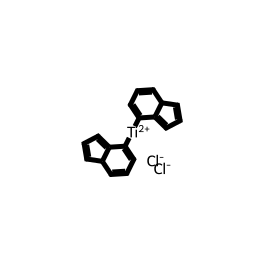 C1=CC2C=CC=C2[C]([Ti+2][C]2=CC=CC3C=CC=C23)=C1.[Cl-].[Cl-]